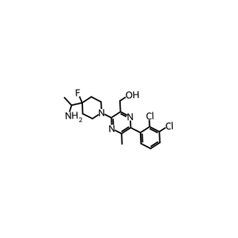 Cc1nc(N2CCC(F)(C(C)N)CC2)c(CO)nc1-c1cccc(Cl)c1Cl